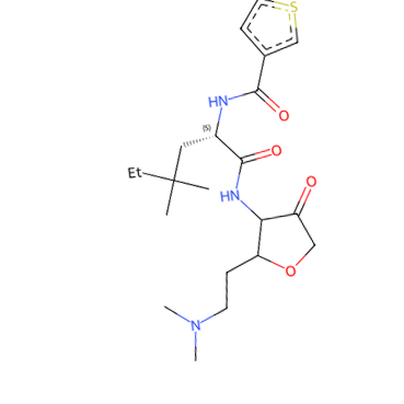 CCC(C)(C)C[C@H](NC(=O)c1ccsc1)C(=O)NC1C(=O)COC1CCN(C)C